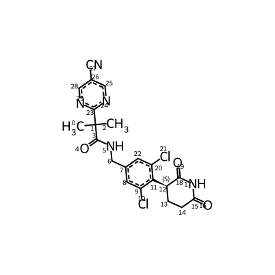 CC(C)(C(=O)NCc1cc(Cl)c([C@@H]2CCC(=O)NC2=O)c(Cl)c1)c1ncc(C#N)cn1